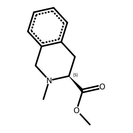 COC(=O)[C@@H]1Cc2ccccc2CN1C